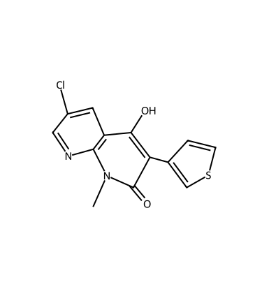 Cn1c(=O)c(-c2ccsc2)c(O)c2cc(Cl)cnc21